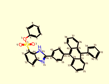 O=S(=O)(Oc1ccccc1)c1cccc2nc(-c3ccc(-c4c5ccccc5c(-c5ccccc5)c5ccccc45)cc3)[nH]c12